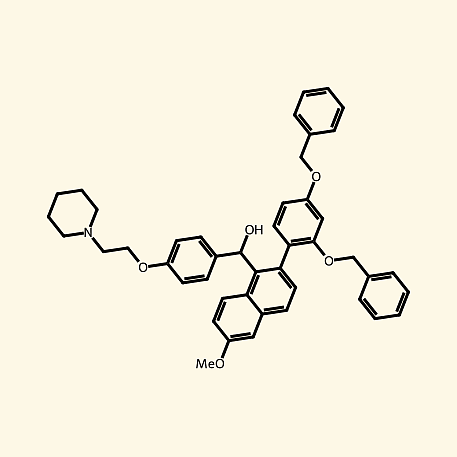 COc1ccc2c(C(O)c3ccc(OCCN4CCCCC4)cc3)c(-c3ccc(OCc4ccccc4)cc3OCc3ccccc3)ccc2c1